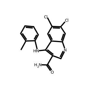 Cc1ccccc1Nc1c(C(N)=O)cnc2cc(Cl)c(Cl)cc12